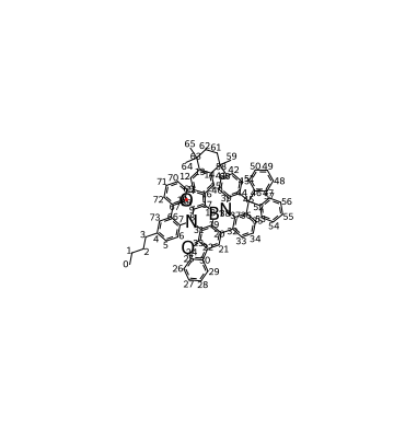 CCCCc1ccc(N2c3oc4cc5c(cc4c3B3c4c(cc6c(oc7ccccc76)c42)-c2cccc4c2N3c2ccccc2C4(c2ccccc2)c2ccccc2)C(C)(C)CCC5(C)C)c(-c2ccccc2)c1